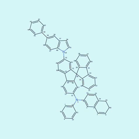 C1=Cc2cc(N(c3ccccc3)c3ccc4c(c3)C3(c5ccccc5-c5ccccc53)c3cc(-n5ccc6cc(-c7ccccc7)ccc65)ccc3-4)ccc2CC1